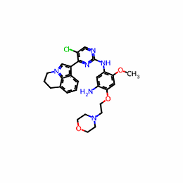 COc1cc(OCCN2CCOCC2)c(N)cc1Nc1ncc(Cl)c(-c2cn3c4c(cccc24)CCC3)n1